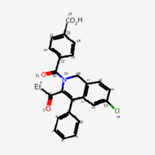 CCC(=O)C1=C(c2ccccc2)c2cc(Cl)ccc2CN1C(=O)c1ccc(C(=O)O)cc1